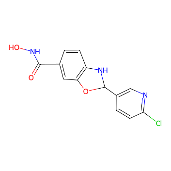 O=C(NO)c1ccc2c(c1)OC(c1ccc(Cl)nc1)N2